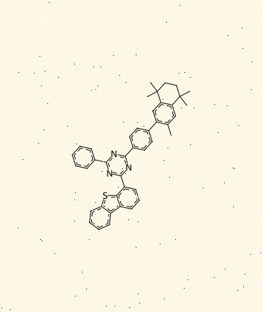 Cc1cc2c(cc1-c1ccc(-c3nc(-c4ccccc4)nc(-c4cccc5c4sc4ccccc45)n3)cc1)C(C)(C)CCC2(C)C